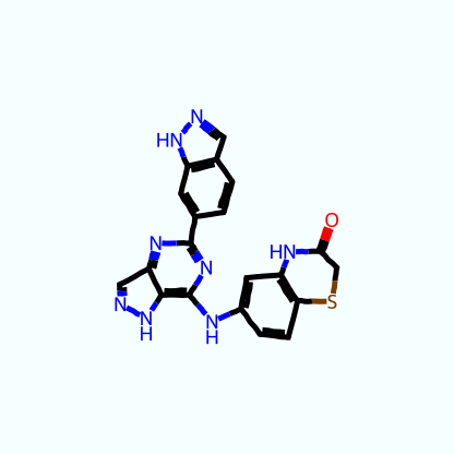 O=C1CSc2ccc(Nc3nc(-c4ccc5cn[nH]c5c4)nc4cn[nH]c34)cc2N1